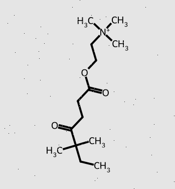 CCC(C)(C)C(=O)CCC(=O)OCC[N+](C)(C)C